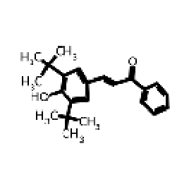 CC(C)(C)c1cc(C=CC(=O)c2ccccc2)cc(C(C)(C)C)c1O